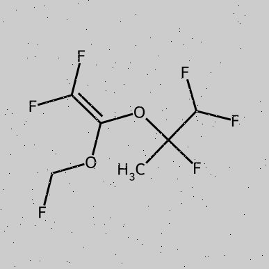 CC(F)(OC(OCF)=C(F)F)C(F)F